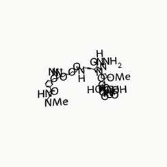 CNCCNC(=O)c1cccc(OCC(N=[N+]=[N-])OCCOCC(=O)NCC#Cc2cn([C@H]3C[C@@H](OC)[C@@H](COP(=O)(O)OP(=O)(O)OP(=O)(O)O)O3)c3nc(N)[nH]c(=O)c23)c1